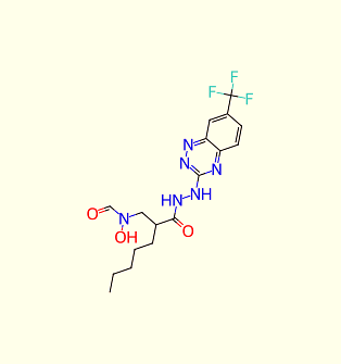 CCCCCC(CN(O)C=O)C(=O)NNc1nnc2cc(C(F)(F)F)ccc2n1